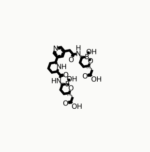 O=C(O)C[C@@H]1CC[C@H](NC(=O)Cc2cncc(C3CCCC(C(=O)N[C@H]4CC[C@@H](CC(=O)O)OB4O)N3)c2)B(O)O1